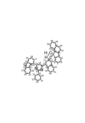 CC1(C)c2c(cccc2-c2ccc(-c3cc(-c4cccc5oc6ccccc6c45)nc(-c4ccccc4)n3)c3ccccc23)-c2ccc3ccccc3c21